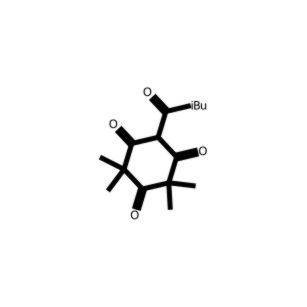 CCC(C)C(=O)C1C(=O)C(C)(C)C(=O)C(C)(C)C1=O